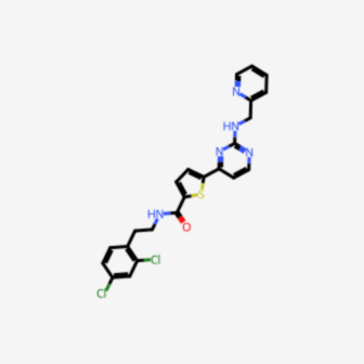 O=C(NCCc1ccc(Cl)cc1Cl)c1ccc(-c2ccnc(NCc3ccccn3)n2)s1